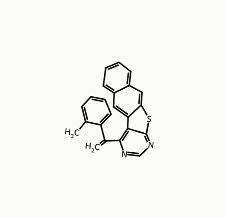 C=C(c1ccccc1C)c1ncnc2sc3cc4ccccc4cc3c12